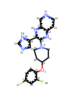 Fc1ccc(OC2CCN(c3nc4ccncc4nc3-c3cnc[nH]3)CC2)c(F)c1